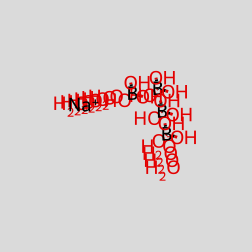 O.O.O.O.O.O.O.O.O.O.OB(O)O.OB(O)O.OB(O)O.[Na+].[O-]B(O)O